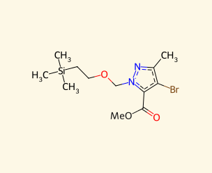 COC(=O)c1c(Br)c(C)nn1COCC[Si](C)(C)C